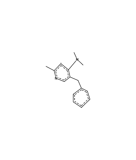 Cc1[c]c(N(C)C)c(Cc2ccccc2)cn1